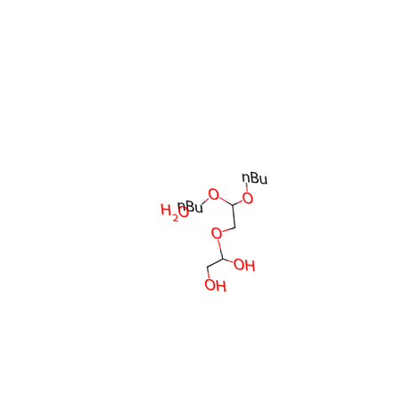 CCCCOC(COC(O)CO)OCCCC.O